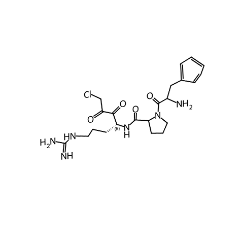 N=C(N)NCCC[C@@H](NC(=O)C1CCCN1C(=O)C(N)Cc1ccccc1)C(=O)C(=O)CCl